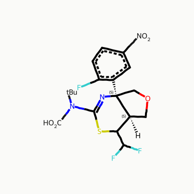 CC(C)(C)N(C(=O)O)C1=N[C@@]2(c3cc([N+](=O)[O-])ccc3F)COC[C@H]2C(C(F)F)S1